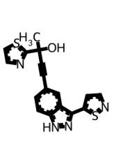 CC(O)(C#Cc1ccc2[nH]nc(-c3ccns3)c2c1)c1nccs1